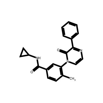 Cc1ccc(C(=O)NC2CC2)cc1-n1ccnc(-c2ccccc2)c1=O